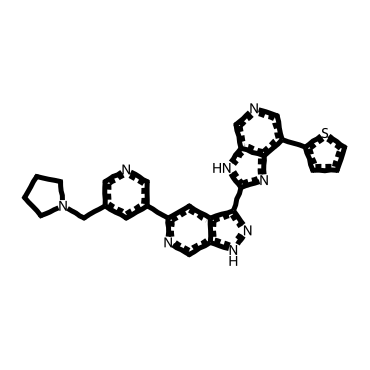 c1csc(-c2cncc3[nH]c(-c4n[nH]c5cnc(-c6cncc(CN7CCCC7)c6)cc45)nc23)c1